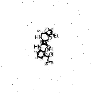 CCc1coc([C@@H](C)Nc2c(Nc3cccc(C(=O)N(C)C)c3O)c(=O)c2=O)c1